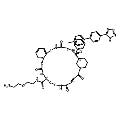 NCCOCCNC(=O)[C@@H]1CCNC(=O)/C=C/C(=O)N2CCC[C@](Cc3ccccc3)(C2)C(=O)N[C@@H](Cc2ccc(-c3ccc(-c4nnn[nH]4)cc3)cc2)C(=O)NCc2ccccc2CC(=O)N1